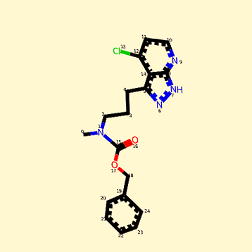 CN(CCCc1n[nH]c2nccc(Cl)c12)C(=O)OCc1ccccc1